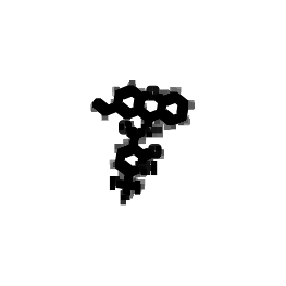 C=Cc1ccc2c(c1)C(NC(=O)c1ccc(C(F)(F)F)[nH]c1=O)c1ccccc1O2